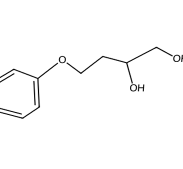 OCC(O)CCOc1ccccc1